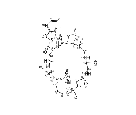 CC(C)CC1C(=O)NC(Cc2cc3cccnc3s2)C(=O)NC(C)C(=O)N(C)C2CC=CCCN(C2=O)C(CC(C)C)C(=O)NCC(=O)NCC(=O)N1C